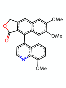 COc1cc2cc3c(c(-c4ccnc5c(OC)cccc45)c2cc1OC)C(=O)OC3